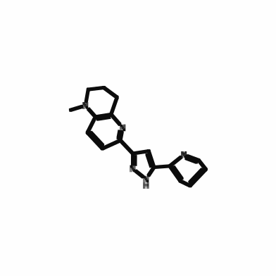 CN1CCCc2nc(-c3cc(-c4ccccn4)[nH]n3)ccc21